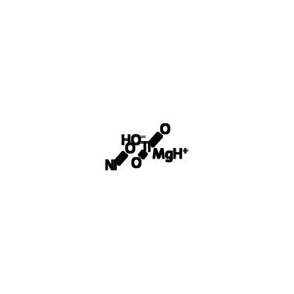 [MgH+].[OH-].[O]=[Ni].[O]=[Ti]=[O]